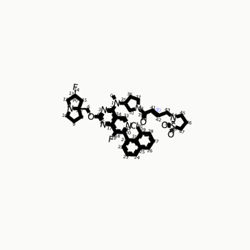 CN(c1nc(OC[C@@]23CCCN2C[C@H](F)C3)nc2c(F)c(-c3cccc4cccc(Cl)c34)ncc12)C1CCN(C(=O)/C=C/CN2CCCS2(=O)=O)C1